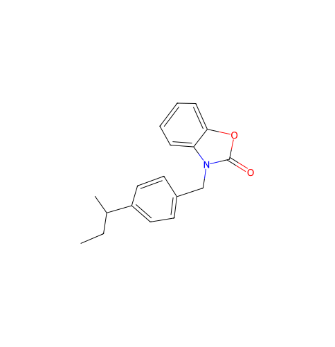 CCC(C)c1ccc(Cn2c(=O)oc3ccccc32)cc1